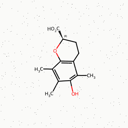 Cc1c(C)c2c(c(C)c1O)CC[C@H](C(=O)O)O2